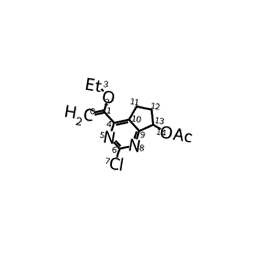 C=C(OCC)c1nc(Cl)nc2c1CCC2OC(C)=O